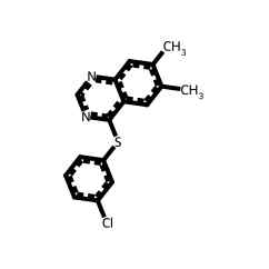 Cc1cc2ncnc(Sc3cccc(Cl)c3)c2cc1C